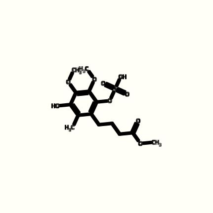 COC(=O)CCCc1c(C)c(O)c(OC)c(OC)c1OS(=O)(=O)O